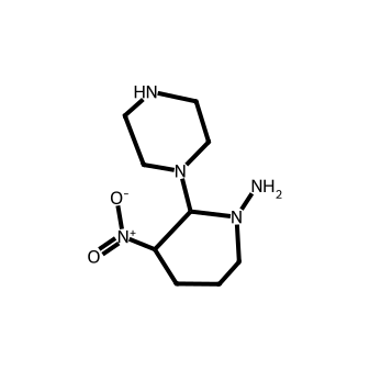 NN1CCCC([N+](=O)[O-])C1N1CCNCC1